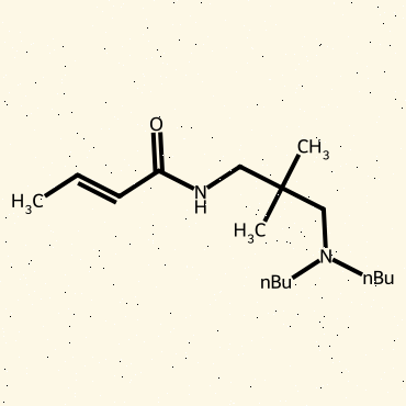 C/C=C/C(=O)NCC(C)(C)CN(CCCC)CCCC